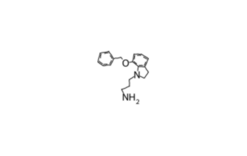 NCCCN1CCc2cccc(OCc3ccccc3)c21